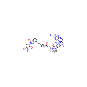 CN(Cc1cnc2nc(N)nc(N)c2n1)c1ccc(C(=O)N[C@@H](CCC(=O)NCCCCc2cccc3c2CN(C2CCC(=O)NC2=O)C3=O)C(=O)O)cc1